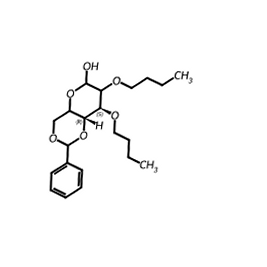 CCCCOC1C(O)OC2COC(c3ccccc3)O[C@H]2[C@@H]1OCCCC